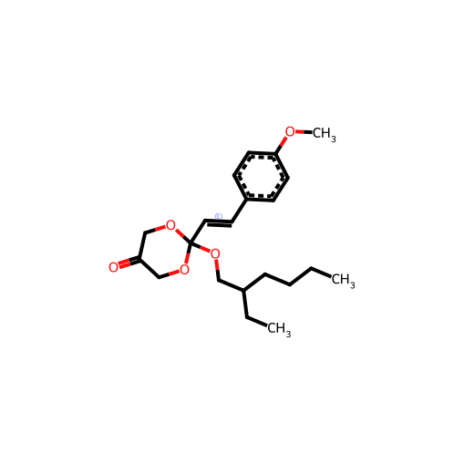 CCCCC(CC)COC1(/C=C/c2ccc(OC)cc2)OCC(=O)CO1